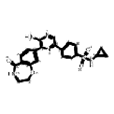 Nc1ncc(-c2ccc(S(=O)(=O)NC3CC3)cc2)nc1-c1ccc2c(c1)OCCNC2=O